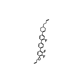 C=CCCC1CC=C(c2ccc(-c3ccc(-c4ccc(OCC=C)c(F)c4F)cc3)c(F)c2)CC1